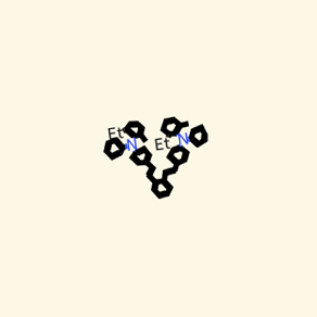 CCc1cccc(C)c1N(c1ccccc1)c1ccc(/C=C/c2ccccc2/C=C/c2ccc(N(C3=C(C)C=CCC3CC)c3ccccc3)cc2)cc1